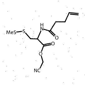 C=CCCC(=O)NC(CSSC)C(=O)OCC#N